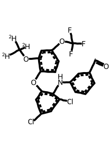 [2H]C([2H])([2H])Oc1cc(OC(F)(F)F)ccc1Oc1cc(Cl)cc(Cl)c1Nc1cccc([C]=O)c1